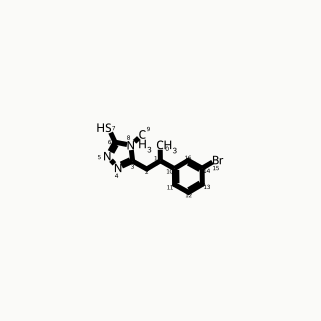 CC(Cc1nnc(S)n1C)c1cccc(Br)c1